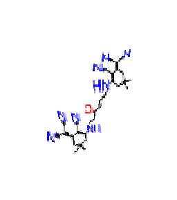 CC1(C)CC(NCCCC(=O)CCNC2=C(C#N)C(=C(C#N)C#N)CC(C)(C)C2)=C(C#N)C(=C(C#N)C#N)C1